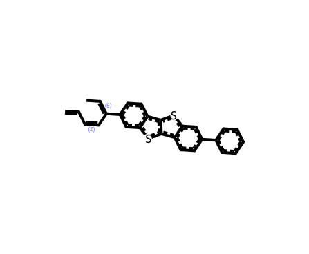 C=C/C=C\C(=C/C)c1ccc2c(c1)sc1c3ccc(-c4ccccc4)cc3sc21